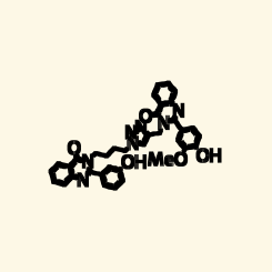 COc1cc(-c2nc3ccccc3c(=O)n2Cc2cn(CCCCn3c(-c4cccc(O)c4)nc4ccccc4c3=O)nn2)ccc1O